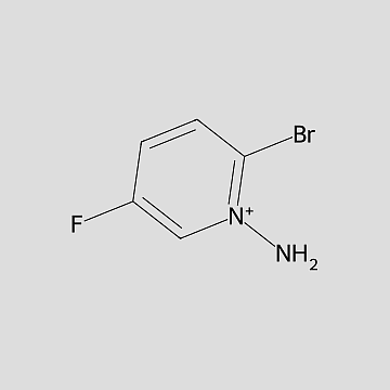 N[n+]1cc(F)ccc1Br